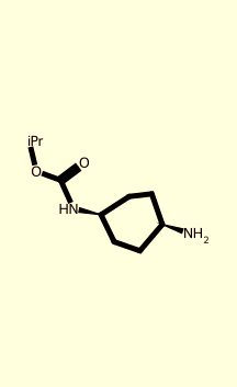 CC(C)OC(=O)N[C@H]1CC[C@@H](N)CC1